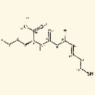 CCCC[C@H](NC(=O)CC(C)/C=C/CCS)C(=O)OC